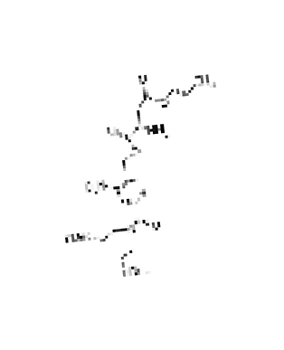 CC=COC(=O)CC(N)C(=O)OCc1ccc(C(=O)N(CCCCCCCCCCCC)CCCCCCCCCCCC)cc1[N+](=O)[O-]